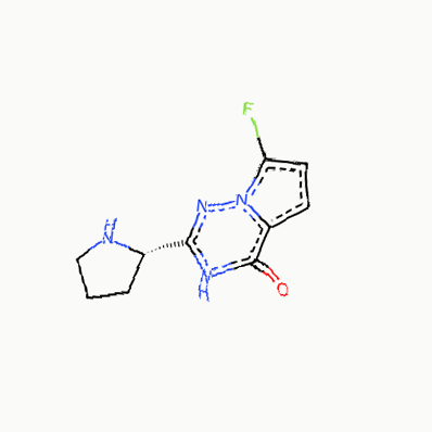 O=c1[nH]c([C@@H]2CCCN2)nn2c(F)ccc12